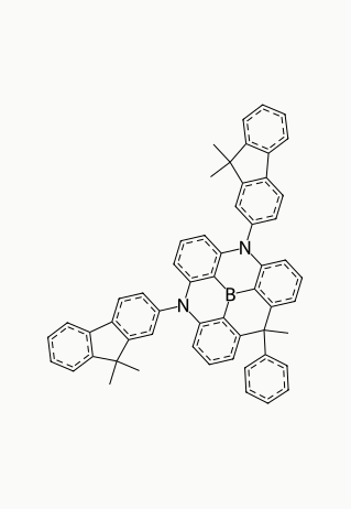 CC1(C)c2ccccc2-c2ccc(N3c4cccc5c4B4c6c3cccc6C(C)(c3ccccc3)c3cccc(c34)N5c3ccc4c(c3)C(C)(C)c3ccccc3-4)cc21